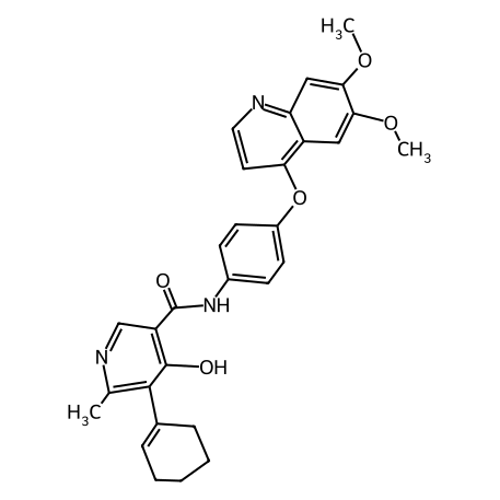 COc1cc2nccc(Oc3ccc(NC(=O)c4cnc(C)c(C5=CCCCC5)c4O)cc3)c2cc1OC